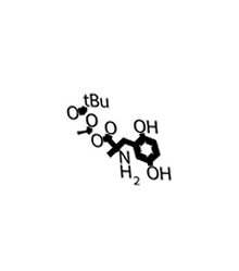 C[C@@H](OC(=O)C(C)(C)C)OC(=O)C(C)(N)Cc1cc(O)ccc1O